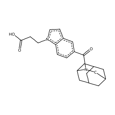 O=C(O)CCn1ccc2cc(C(=O)N3CC4CC5CC(C4)CC3C5)ccc21